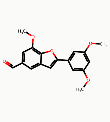 COc1cc(OC)cc(-c2cc3cc(C=O)cc(OC)c3o2)c1